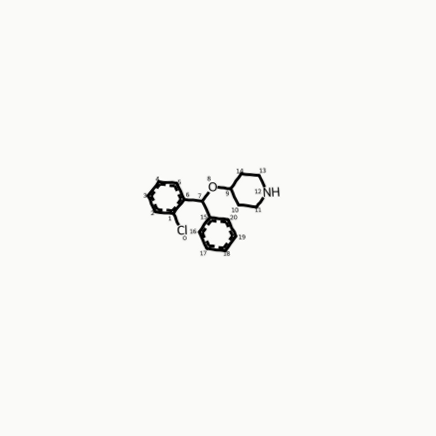 Clc1ccccc1C(OC1CCNCC1)c1ccccc1